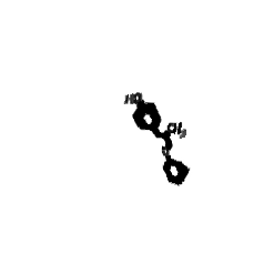 CC(COC1CCCCC1)Cc1ccc(O)cc1